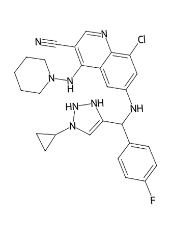 N#Cc1cnc2c(Cl)cc(NC(C3=CN(C4CC4)NN3)c3ccc(F)cc3)cc2c1NN1CCCCC1